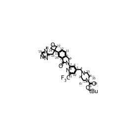 C[C@@H]1CN(Cc2cc(N3Cc4ccc(C5(Cc6nncn6C)COC5)cc4C3=O)nc(C(F)(F)F)c2)C[C@H](C)N1C(=O)OC(C)(C)C